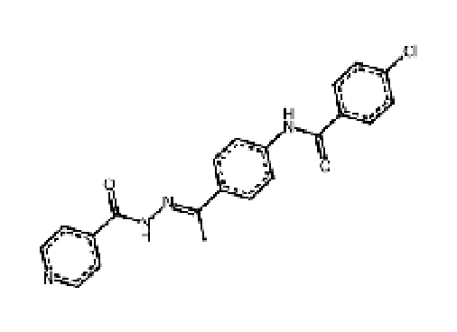 C/C(=N\NC(=O)c1ccncc1)c1ccc(NC(=O)c2ccc(Cl)cc2)cc1